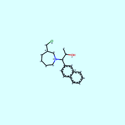 CC(O)C(c1ccc2ccccc2c1)N1CCCCC(CCl)C1